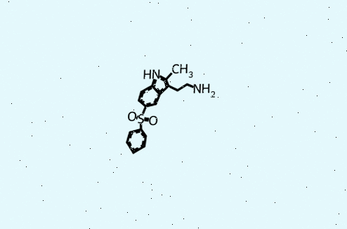 Cc1[nH]c2ccc(S(=O)(=O)c3ccccc3)cc2c1CCN